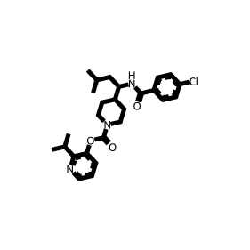 CC(C)CC(NC(=O)c1ccc(Cl)cc1)C1CCN(C(=O)Oc2cccnc2C(C)C)CC1